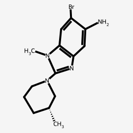 C[C@@H]1CCCN(c2nc3cc(N)c(Br)cc3n2C)C1